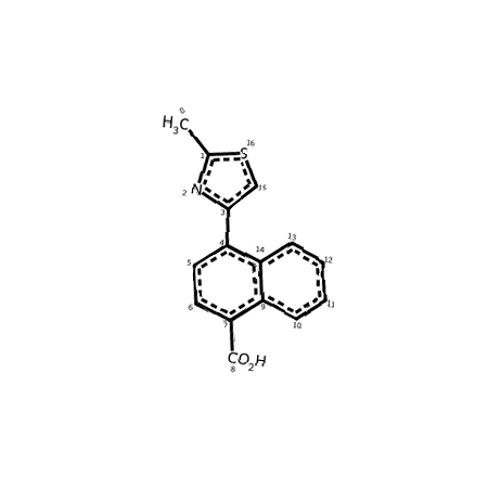 Cc1nc(-c2ccc(C(=O)O)c3ccccc23)cs1